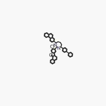 Clc1cc2oc3c4ccccc4ccc3c2cc1C1=N/C(c2ccc(-c3ccccc3)cc2)CCC/C(c2ccc3c(ccc4ccccc43)c2)=N\1